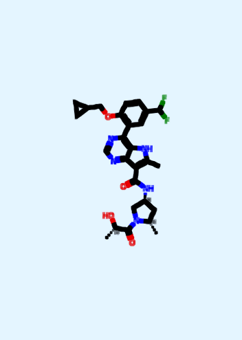 Cc1[nH]c2c(-c3cc(C(F)F)ccc3OCC3CC3)ncnc2c1C(=O)N[C@@H]1C[C@H](C)N(C(=O)[C@H](C)O)C1